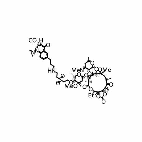 CC[C@H]1OC(=O)[C@H](C)[C@@H](O[C@H]2C[C@@](C)(OC)[C@@H](OCCS(=O)(=O)CCNCCCc3ccc4c(c3)c(=O)c(C(=O)O)cn4N(C)C)[C@H](C)O2)[C@H](C)[C@@H](O[C@@H]2O[C@H](C)C[C@H](NC)[C@H]2O)[C@](C)(OC)C[C@@H](C)C(=O)[C@@H](C)[C@H]2OC(=O)O[C@@]21C